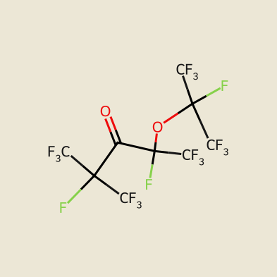 O=C(C(F)(OC(F)(C(F)(F)F)C(F)(F)F)C(F)(F)F)C(F)(C(F)(F)F)C(F)(F)F